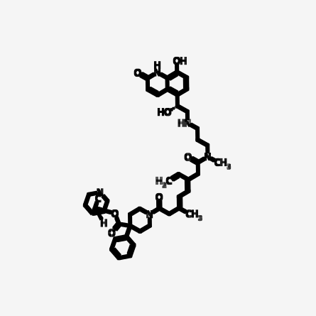 C=C/C(=C\C=C(/C)CC(=O)N1CCC(C(=O)O[C@H]2CN3CCC2CC3)(c2ccccc2)CC1)CC(=O)N(C)CCCNC[C@H](O)c1ccc(O)c2[nH]c(=O)ccc12